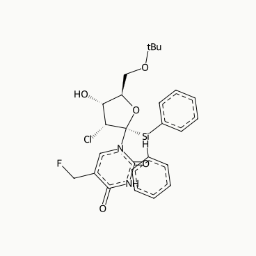 CC(C)(C)OC[C@H]1O[C@](n2cc(CF)c(=O)[nH]c2=O)([SiH](c2ccccc2)c2ccccc2)[C@H](Cl)[C@@H]1O